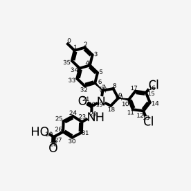 Cc1ccc2cc([C@H]3C[C@@H](c4cc(Cl)cc(Cl)c4)CN3C(=O)Nc3ccc(C(=O)O)cc3)ccc2c1